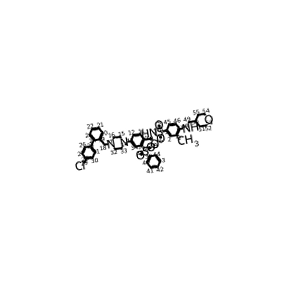 Cc1cc(S(=O)(=O)NC(=O)c2ccc(N3CCN(Cc4ccccc4-c4ccc(Cl)cc4)CC3)cc2S(=O)(=O)c2ccccc2)ccc1NCC1CCOCC1